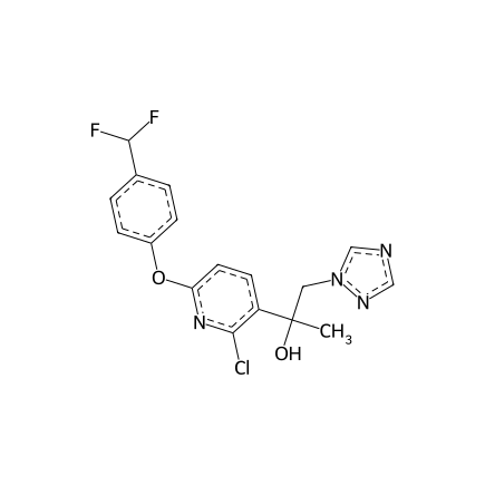 CC(O)(Cn1cncn1)c1ccc(Oc2ccc(C(F)F)cc2)nc1Cl